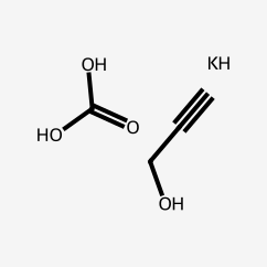 C#CCO.O=C(O)O.[KH]